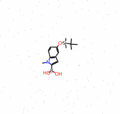 Cn1c(B(O)O)cc2cc(O[Si](C)(C)C(C)(C)C)ccc21